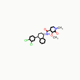 COc1c(C(=O)N[C@H]2CCC(c3ccc(Cl)c(Cl)c3)c3ccccc32)ccn(C)c1=O